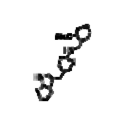 COc1ccccc1CNc1ccc(Cc2c[nH]c3ncccc23)cn1